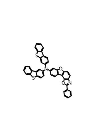 c1ccc(-c2nc3ccc4oc5cc(N(c6ccc7c(c6)sc6ccccc67)c6ccc7sc8ccccc8c7c6)ccc5c4c3o2)cc1